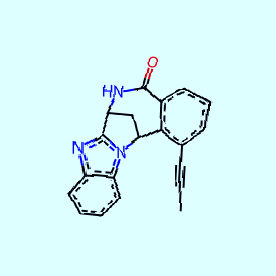 CC#Cc1cccc2c1C1CC(NC2=O)c2nc3ccccc3n21